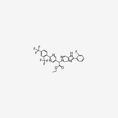 CCOC(=O)C(c1cnc(-c2ccc(C(F)(F)F)cc2C(F)(F)F)nc1)N1Cc2nc(-c3ccccc3F)[nH]c2C=N1